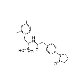 Cc1ccc(CC(NC(=O)Cc2ccc(N3CCCC3=O)cc2)B(O)O)c(C)c1